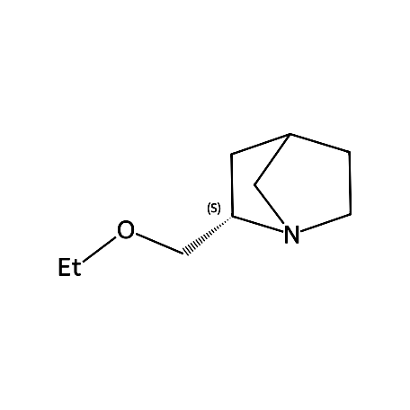 CCOC[C@@H]1CC2CCN1C2